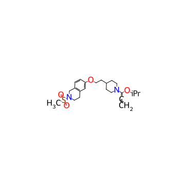 C=C=C(OC(C)C)N1CCC(CCOc2ccc3c(c2)CCN(S(C)(=O)=O)C3)CC1